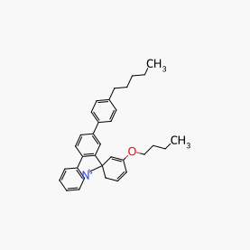 CCCCCc1ccc(-c2ccc(-c3ccccc3)c(C3(C#N)C=C(OCCCC)C=CC3)c2)cc1